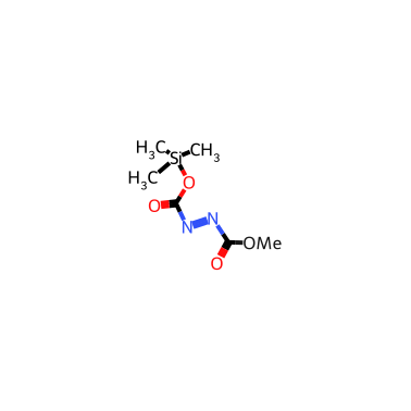 COC(=O)N=NC(=O)O[Si](C)(C)C